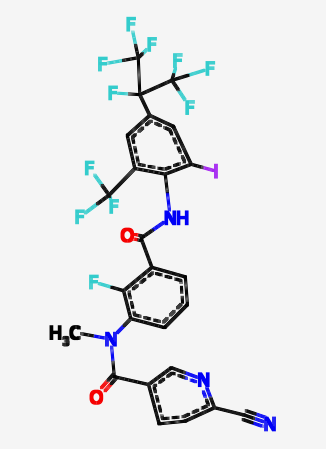 CN(C(=O)c1ccc(C#N)nc1)c1cccc(C(=O)Nc2c(I)cc(C(F)(C(F)(F)F)C(F)(F)F)cc2C(F)(F)F)c1F